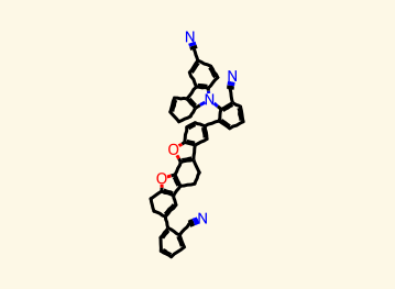 N#Cc1ccc2c(c1)c1c(n2-c2c(C#N)cccc2-c2ccc3oc4c(c3c2)CCc2c-4oc3c2C=C(c2ccccc2C#N)CC3)CCC=C1